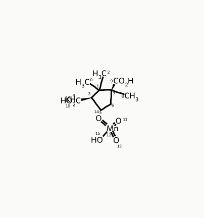 CC1(C)[C@H](C(=O)O)CC[C@]1(C)C(=O)O.[KH].[O]=[Mn](=[O])(=[O])[OH]